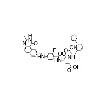 Cc1nc2ccc3ccc(CNc4ccc(C(=O)N[C@@H](CCC(=O)O)C(=O)N[C@@H](Cc5cccc(C6CCCC6)c5)C(=O)O)c(F)c4)cc3c2c(=O)[nH]1